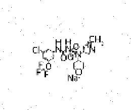 Cn1cc(N(C2CCOCC2)S(=O)(=O)NC(=O)Nc2cc(Cl)cc(OC(F)(F)F)c2)cn1.[Na]